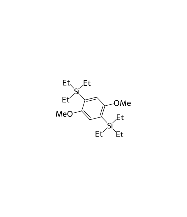 CC[Si](CC)(CC)c1cc(OC)c([Si](CC)(CC)CC)cc1OC